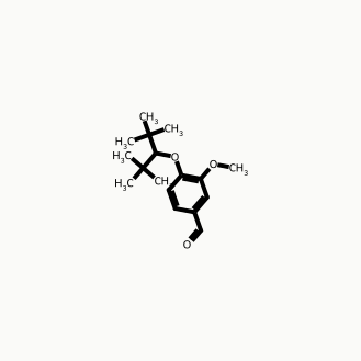 COc1cc(C=O)ccc1OC(C(C)(C)C)C(C)(C)C